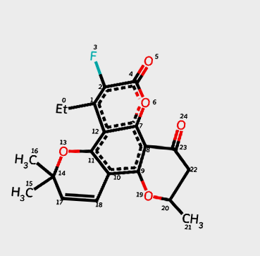 CCc1c(F)c(=O)oc2c3c(c4c(c12)OC(C)(C)C=C4)OC(C)CC3=O